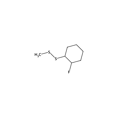 CSSC1CCCCC1F